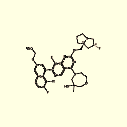 CCc1c(F)ccc2cc(OCOC)cc(-c3ncc4c(N5CCOCC(C)(O)C5)nc(OC[C@@]56CCCN5C[C@H](F)C6)nc4c3F)c12